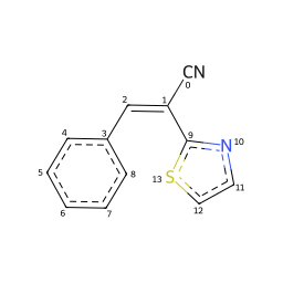 N#CC(=Cc1ccccc1)c1nccs1